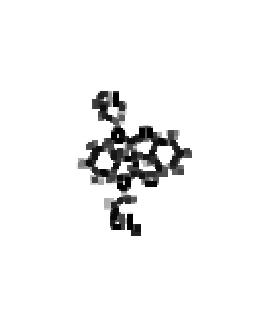 C=CCOC(=O)C(C(=O)OCC=C)(c1ccccc1)c1ccccc1